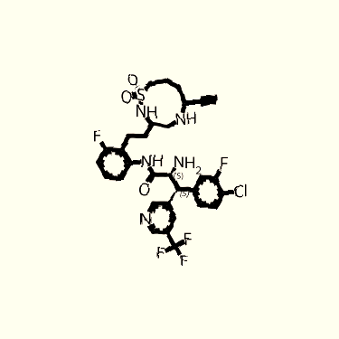 C#CC1CCCS(=O)(=O)NC(CCc2c(F)cccc2NC(=O)[C@@H](N)[C@H](c2cncc(C(F)(F)F)c2)c2ccc(Cl)c(F)c2)CN1